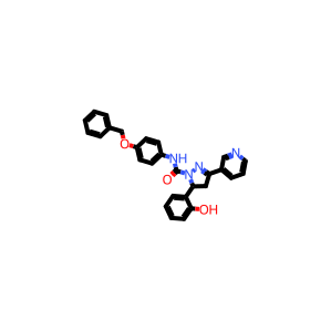 O=C(Nc1ccc(OCc2ccccc2)cc1)N1N=C(c2cccnc2)CC1c1ccccc1O